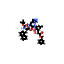 CC(C)C[C@H](NC(=O)[C@H](Cc1c[nH]cn1)NC(=O)[C@H](Cc1cccc2ccccc12)NC(=O)OC(C)(C)C)[C@@H](O)CCC(=O)OCc1ccccc1